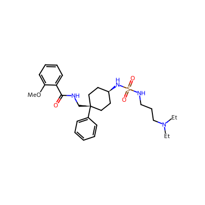 CCN(CC)CCCNS(=O)(=O)N[C@H]1CC[C@](CNC(=O)c2ccccc2OC)(c2ccccc2)CC1